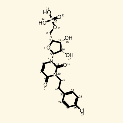 O=c1ccn([C@@H]2O[C@H](COP(=O)(O)O)[C@H](O)[C@@H]2O)c(=O)n1CCc1ccc(Cl)cc1